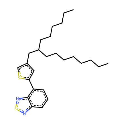 CCCCCCCCC(CCCCCC)Cc1csc(-c2cccc3nsnc23)c1